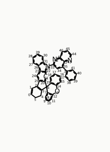 C1=CC2=C(CC1)C1(c3ccccc3Oc3ccccc31)c1cc3c(cc12)c1ccccc1n3-c1cc(-c2ccccc2)c2ncccc2n1